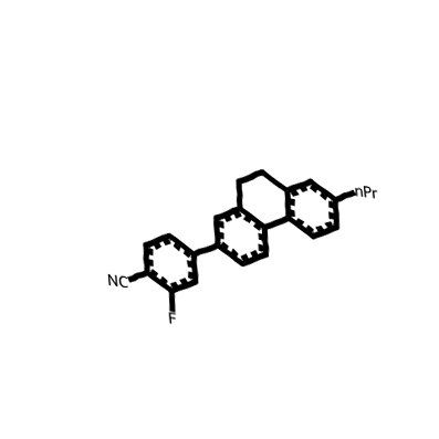 CCCc1ccc2c(c1)CCc1cc(-c3ccc(C#N)c(F)c3)ccc1-2